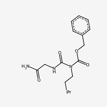 CC(C)CCN(C(=O)NCC(N)=O)C(=O)OCc1ccccc1